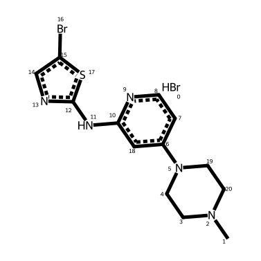 Br.CN1CCN(c2ccnc(Nc3ncc(Br)s3)c2)CC1